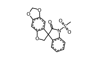 CS(=O)(=O)N1C(=O)C2(COc3cc4c(cc32)OCO4)c2ccccc21